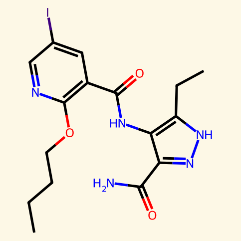 CCCCOc1ncc(I)cc1C(=O)Nc1c(C(N)=O)n[nH]c1CC